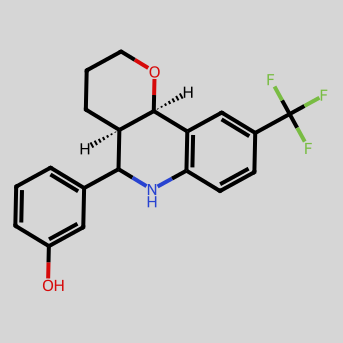 Oc1cccc(C2Nc3ccc(C(F)(F)F)cc3[C@@H]3OCCC[C@H]23)c1